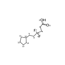 O=C(O)CCC(F)(F)CCC1CCCC1